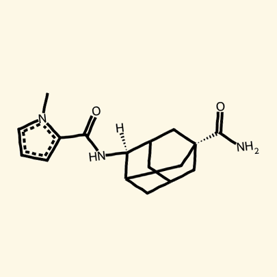 Cn1cccc1C(=O)N[C@H]1C2CC3CC1C[C@](C(N)=O)(C3)C2